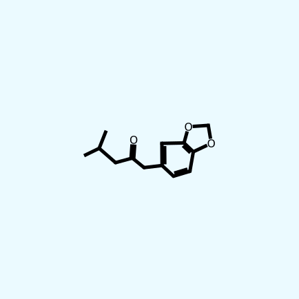 CC(C)CC(=O)Cc1ccc2c(c1)OCO2